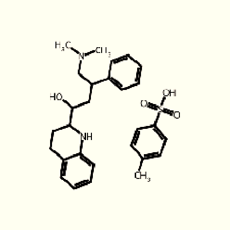 CN(C)CC(CC(O)C1CCc2ccccc2N1)c1ccccc1.Cc1ccc(S(=O)(=O)O)cc1